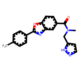 CN(Cc1ccn[nH]1)C(=O)c1ccc2oc(-c3ccc(C(F)(F)F)cc3)nc2c1